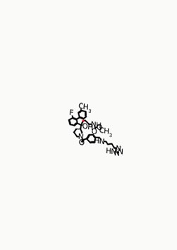 COC(=O)NCCC[C@@](O)(c1cccc(F)c1-c1cccc(C)c1)[C@@H]1CCCN(C(=O)c2ccc(CNCCCc3nnn[nH]3)cc2)C1